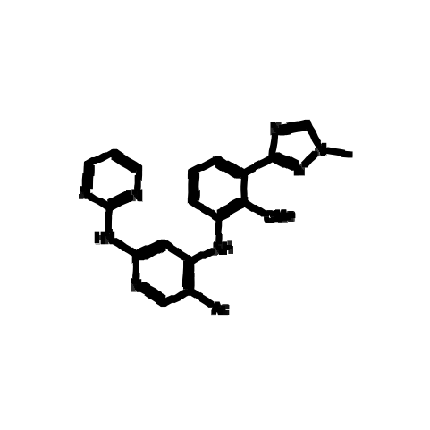 COc1c(Nc2cc(Nc3ncccn3)ncc2C(C)=O)cccc1-c1ncn(C)n1